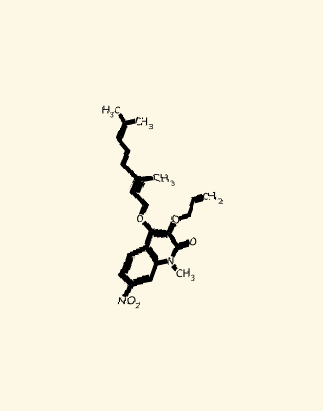 C=CCOc1c(OC/C=C(\C)CCC=C(C)C)c2ccc([N+](=O)[O-])cc2n(C)c1=O